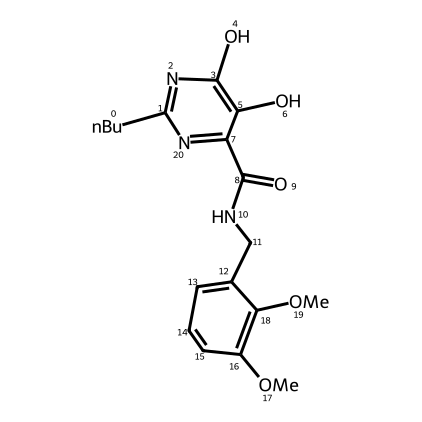 CCCCc1nc(O)c(O)c(C(=O)NCc2cccc(OC)c2OC)n1